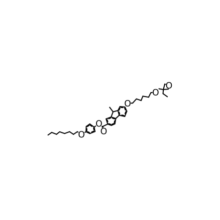 CCCCCCCCOc1ccc(OC(=O)c2ccc3c(c2)C(C)c2cc(OCCCCCCOCC4(CC)COC4)ccc2-3)cc1